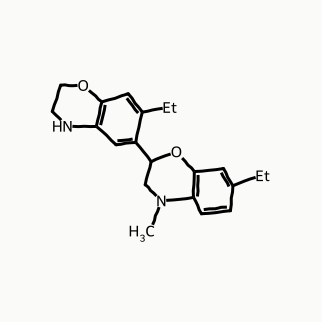 CCc1ccc2c(c1)OC(c1cc3c(cc1CC)OCCN3)CN2C